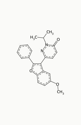 COc1ccc2oc(-c3ccccc3)c(-c3ccc(=O)n(C(C)C)n3)c2c1